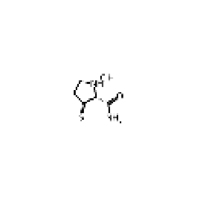 Cl.NC(=O)[C@H]1NCCC1=S